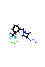 Cl.NC1CN(Cc2cccc(C(F)(F)F)c2)C1